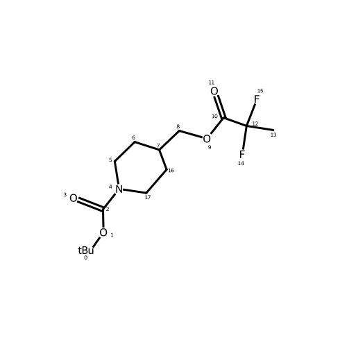 CC(C)(C)OC(=O)N1CCC(COC(=O)C(C)(F)F)CC1